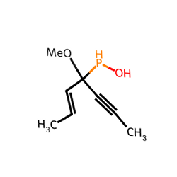 CC#CC(C=CC)(OC)PO